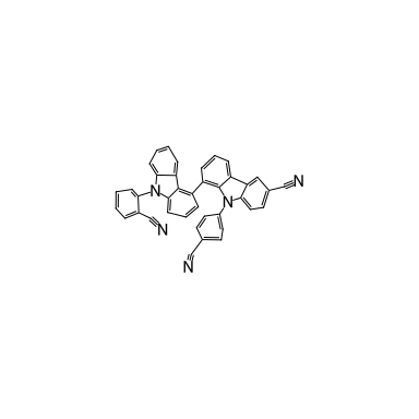 N#Cc1ccc(-n2c3ccc(C#N)cc3c3cccc(-c4cccc5c4c4ccccc4n5-c4ccccc4C#N)c32)cc1